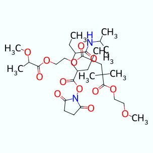 CCC(CC(CC(C)(CC(C)(C)C(=O)OCCOC)C(=O)OCCOC(=O)C(C)OC)C(=O)ON1C(=O)CCC1=O)C(=O)NC(C)C